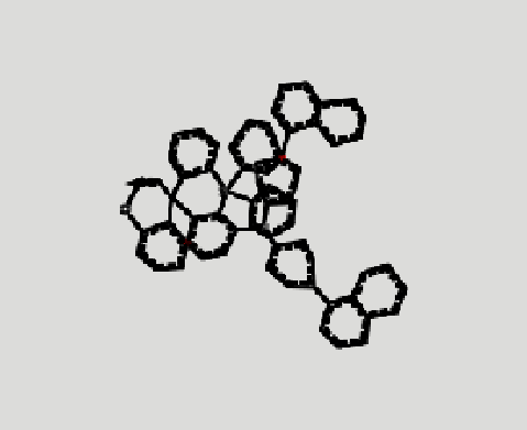 c1ccc([Si]2(c3ccccc3)c3ccccc3C3(c4ccccc4Oc4ccccc43)c3cccc(N(c4ccc(-c5cccc6ccccc56)cc4)c4ccc(-c5cccc6ccccc56)cc4)c32)cc1